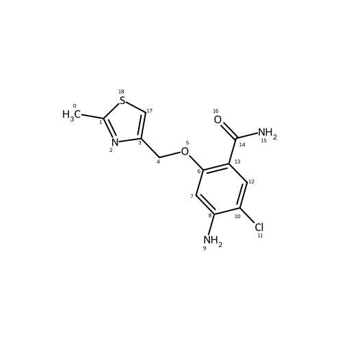 Cc1nc(COc2cc(N)c(Cl)cc2C(N)=O)cs1